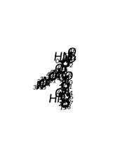 Cc1cc(CC(OC(=O)N2CCC(N3CCc4ccccc4NC3=O)CC2)C(=O)N2CCC(N3CCN(C)CC3)CC2)cc2oc(=O)[nH]c12